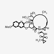 CC[C@@H]1C[C@H](C)CC/C=C\[C@@H]2C[C@@]2(C(=O)NS(=O)(=O)C2(C)CC2)NC(=O)[C@@H]2C[C@@H](Oc3cc4cc(OC)ccc4nc3OC)CN2C(=O)[C@H]1NC(=O)O